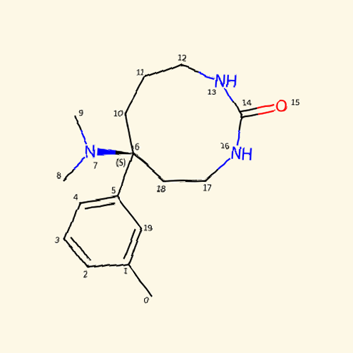 Cc1cccc([C@]2(N(C)C)CCCNC(=O)NCC2)c1